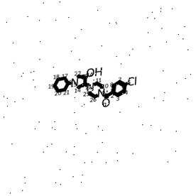 O=C(c1ccc(Cl)cc1)N1CCN(C2CN(C3CCCCC3)C[C@@H]2O)CC1